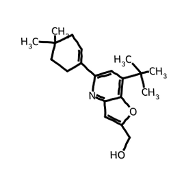 CC1(C)CC=C(c2cc(C(C)(C)C)c3oc(CO)cc3n2)CC1